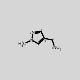 Cn1cc(C[N+](=O)[O-])cn1